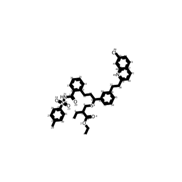 CCOC(=O)C(CC)CSC(CCc1ccccc1C(=O)NS(=O)(=O)c1ccc(C)cc1)c1cccc(CCc2ccc3ccc(Cl)cc3n2)c1